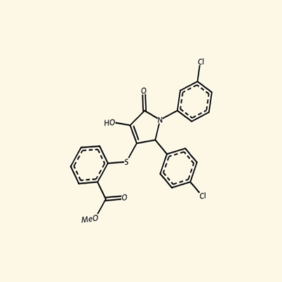 COC(=O)c1ccccc1SC1=C(O)C(=O)N(c2cccc(Cl)c2)C1c1ccc(Cl)cc1